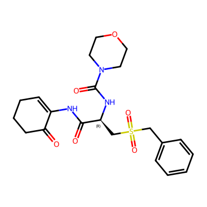 O=C1CCCC=C1NC(=O)[C@H](CS(=O)(=O)Cc1ccccc1)NC(=O)N1CCOCC1